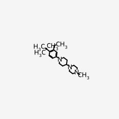 CCc1cc(N2CCC(N3CCN(C)CC3)CC2)ccc1C(C)(C)C